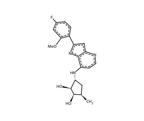 [CH2][C@@H]1C[C@@H](Nc2ccnc3cc(-c4ccc(F)cc4OC)nn23)[C@H](O)[C@@H]1O